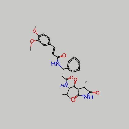 COc1ccc(/C=C/C(=O)N[C@@H](CC(=O)N[C@H](C(=O)[C@@H]2C(=O)NC(=O)[C@H]2C)C(C)C)c2ccccc2)cc1OC